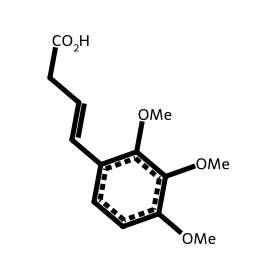 COc1ccc(/C=C/CC(=O)O)c(OC)c1OC